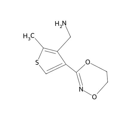 Cc1scc(C2=NOCCO2)c1CN